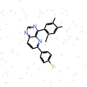 Cc1cc(C)c(-c2ncnc3ccc(-c4ccc(F)cc4)nc23)cc1C